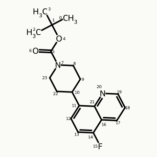 CC(C)(C)OC(=O)N1CCC(c2ccc(F)c3cccnc23)CC1